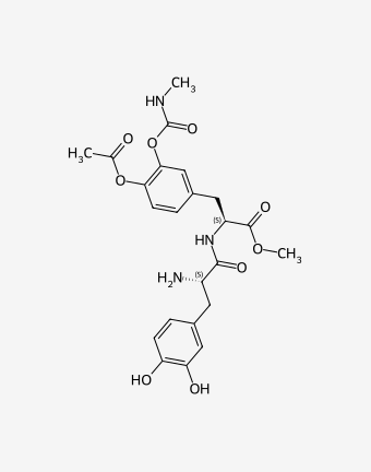 CNC(=O)Oc1cc(C[C@H](NC(=O)[C@@H](N)Cc2ccc(O)c(O)c2)C(=O)OC)ccc1OC(C)=O